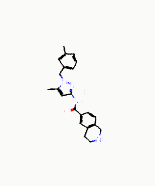 Cc1cccc(Cn2nc(NC(=O)c3ccc4c(c3)CCNC4)cc2C)c1.Cl